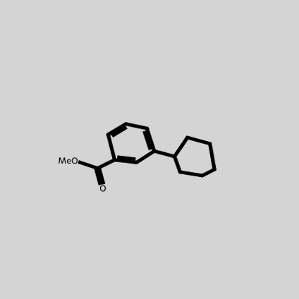 COC(=O)c1cccc(C2CCCCC2)c1